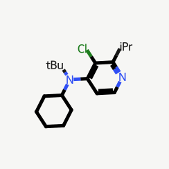 CC(C)c1nccc(N(C2CCCCC2)C(C)(C)C)c1Cl